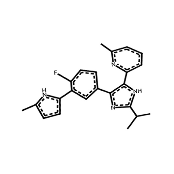 Cc1cccc(-c2[nH]c(C(C)C)nc2-c2ccc(F)c(-c3ccc(C)[nH]3)c2)n1